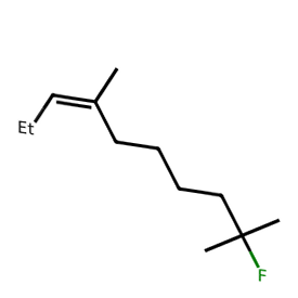 CC/C=C(/C)CCCCC(C)(C)F